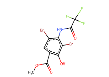 COC(=O)c1cc(Br)c(NC(=O)C(F)(F)F)c(Br)c1O